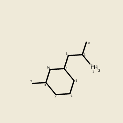 CC(P)CC1CCCC(C)C1